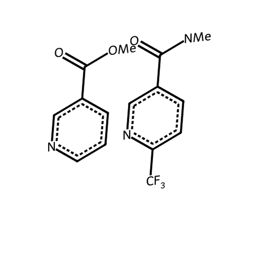 CNC(=O)c1ccc(C(F)(F)F)nc1.COC(=O)c1cccnc1